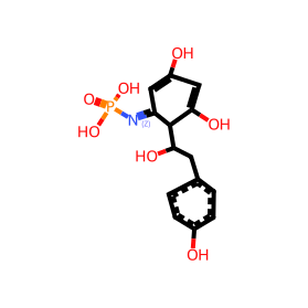 O=P(O)(O)/N=C1\C=C(O)C=C(O)C1C(O)Cc1ccc(O)cc1